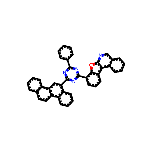 c1ccc(-c2nc(-c3cc4c5ccccc5ccc4c4ccccc34)nc(-c3cccc4c3oc3ncc5ccccc5c34)n2)cc1